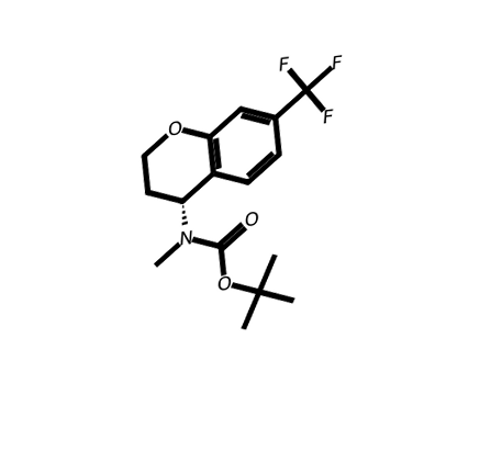 CN(C(=O)OC(C)(C)C)[C@@H]1CCOc2cc(C(F)(F)F)ccc21